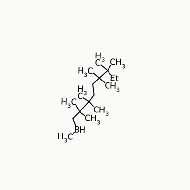 CBCC(C)(C)C(C)(C)CCC(C)(C)C(C)(C)CC